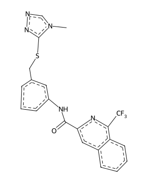 Cn1cnnc1SCc1cccc(NC(=O)c2cc3ccccc3c(C(F)(F)F)n2)c1